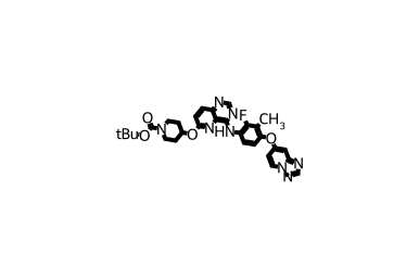 Cc1c(Oc2ccn3ncnc3c2)ccc(Nc2ncnc3ccc(OC4CCN(C(=O)OC(C)(C)C)CC4)nc23)c1F